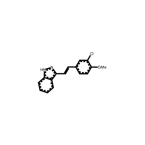 COc1ccc(/C=C/c2n[nH]c3ccccc23)cc1Cl